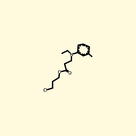 CCN(CCC(=O)OCCCCl)c1cccc(C)c1